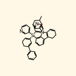 CC1C=C(n2c3c(c4cccc([Si](C5=CCCC(c6ccccc6)=C5)(c5cccnc5)c5cccnc5)c42)CCC=C3)C=CC1